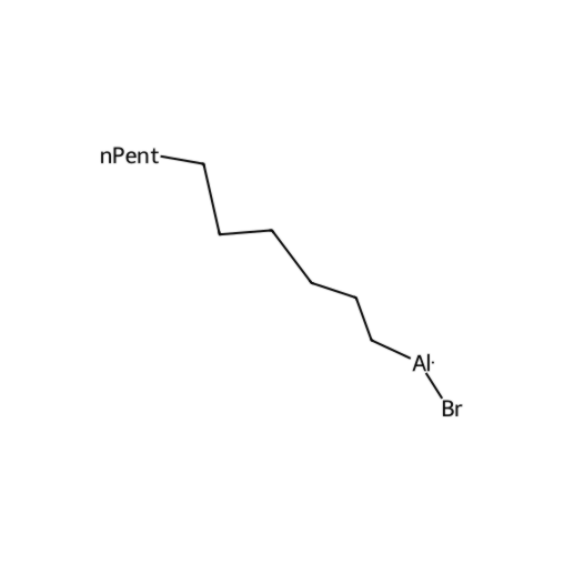 CCCCCCCCCC[CH2][Al][Br]